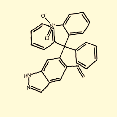 C=Cc1cc2cn[nH]c2cc1C(c1ccccc1)(c1ccccc1)c1ccccc1[N+](=O)[O-]